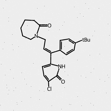 CC(C)(C)c1ccc(/C(=C\CN2CCCCCC2=O)c2ccc(Cl)c(=O)[nH]2)cc1